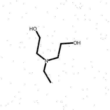 [CH2]CN(CCO)CCO